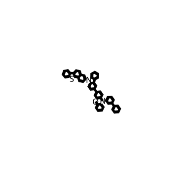 c1ccc(-c2cccc(N3c4ccccc4Oc4cc(-c5ccc6c(c5)c5ccccc5n6-c5ccc6c(ccc7c8ccccc8sc67)c5)ccc43)c2)cc1